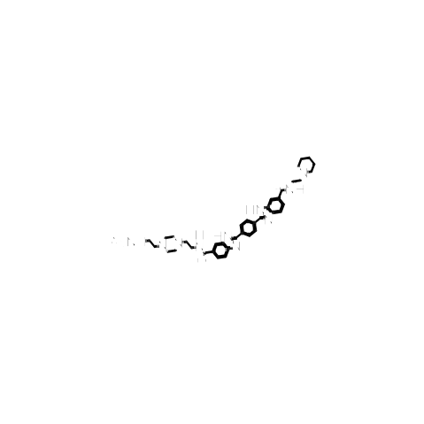 CC(=O)NCCN1CCN(CCNC(=O)c2ccc3nc(-c4ccc(-c5nc6ccc(C(=O)NCCN7CCCCC7)cc6[nH]5)cc4)[nH]c3c2)CC1